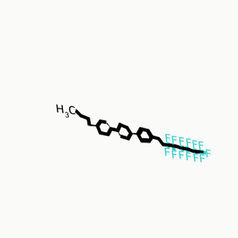 CCCCC[C@H]1CC[C@H]([C@H]2CC[C@H](c3ccc(CCC(F)(F)C(F)(F)C(F)(F)C(F)(F)C(F)(F)C(F)(F)F)cc3)CC2)CC1